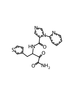 NC(=O)C(=O)C(Cc1ccsc1)NC(=O)c1cncn1-c1ccccn1